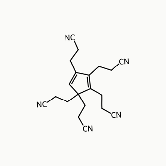 N#CCCC1=CC(CCC#N)(CCC#N)C(CCC#N)=C1CCC#N